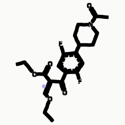 CCO/C=C(/C(=O)OCC)C(=O)c1cc(F)c(C2CCN(C(C)=O)CC2)cc1F